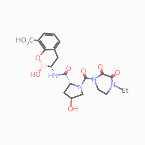 CCN1CCN(C(=O)N2C[C@@H](O)C[C@@H]2C(=O)N[C@H]2Cc3cccc(C(=O)O)c3OB2O)C(=O)C1=O